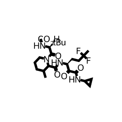 CC1CCCN(C(=O)[C@@H](NC(=O)O)C(C)(C)C)C1C(=O)N[C@@H](CCC(C)(F)F)C(=O)C(=O)NC1CC1